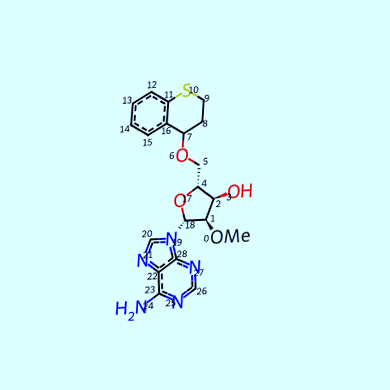 CO[C@@H]1[C@H](O)[C@@H](COC2CCSc3ccccc32)O[C@H]1n1cnc2c(N)ncnc21